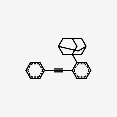 C(#Cc1ccccc1C12CC3CC(CC(C3)C1)C2)c1ccccc1